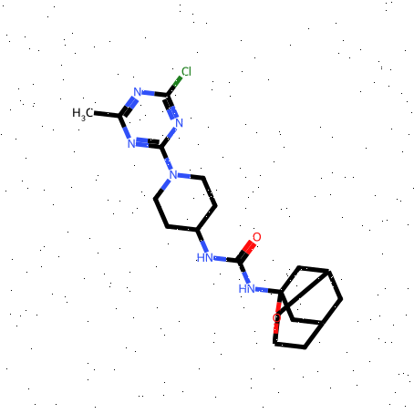 Cc1nc(Cl)nc(N2CCC(NC(=O)NC34CC5CC(CC(C5)O3)C4)CC2)n1